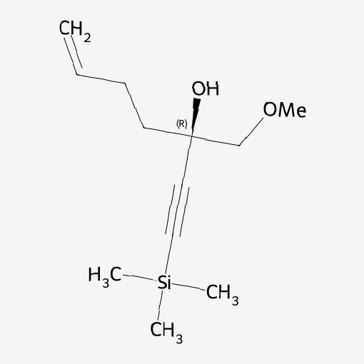 C=CCC[C@@](O)(C#C[Si](C)(C)C)COC